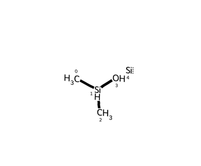 C[SiH](C)O.[Si]